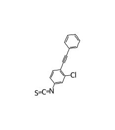 S=C=Nc1ccc(C#Cc2ccccc2)c(Cl)c1